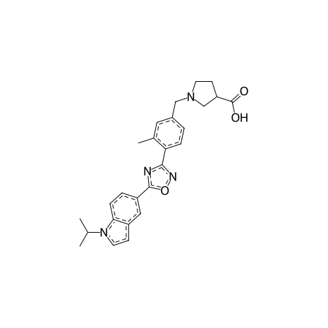 Cc1cc(CN2CCC(C(=O)O)C2)ccc1-c1noc(-c2ccc3c(ccn3C(C)C)c2)n1